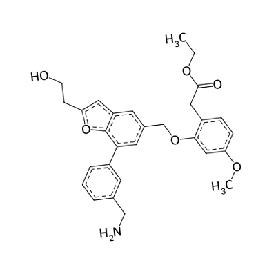 CCOC(=O)Cc1ccc(OC)cc1OCc1cc(-c2cccc(CN)c2)c2oc(CCO)cc2c1